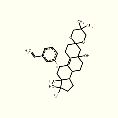 C=Cc1cccc([C@H]2CC3(C)C(CCC3(C)O)C3CCC4(O)CC5(CCC4=C32)OCC(C)(C)CO5)c1